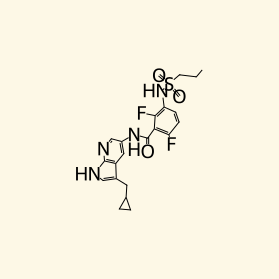 CCCS(=O)(=O)Nc1ccc(F)c(C(=O)Nc2cnc3[nH]cc(CC4CC4)c3c2)c1F